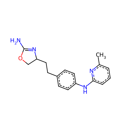 Cc1cccc(Nc2ccc(CCC3COC(N)=N3)cc2)n1